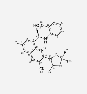 Cc1cc([C@@H](C)Nc2ccccc2C(=O)O)c2nc(N3CC(F)(F)CC3C)c(C#N)nc2c1